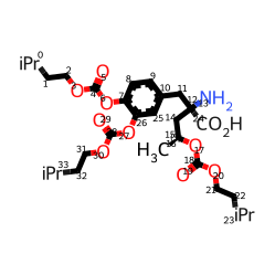 CC(C)CCOC(=O)Oc1ccc(CC(N)(C[C@H](C)OC(=O)OCCC(C)C)C(=O)O)cc1OC(=O)OCCC(C)C